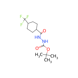 CC(C)(C)OC(=O)NNC(=O)C1CCC(C(F)(F)F)CC1